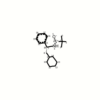 CC(C)(C)[S@@+]([O-])N[C@H](CC1CCCCC1)c1ccccc1